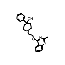 Cc1nc(OCCN2CCC(O)(c3ccccc3)CC2)c2ccccc2n1